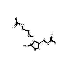 CC(=O)NCCSC[C@H]1C(=O)CC[C@@H]1COC(C)=O